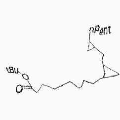 CCCCCC1CC1CC1CC1CCCCCCCC(=O)OC(C)(C)C